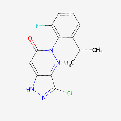 CC(C)c1cccc(F)c1-n1nc2c(Cl)n[nH]c2cc1=O